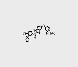 CC(=O)Nc1cc(Oc2ccc3c(c2)nc(Nc2ccc(Cl)c(C4(C)CCOC4)c2)n3C)ccn1